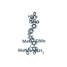 CNC(=O)N1CCc2c(-c3cc(OC)c(CN4CCC(CN5CCN(c6ccc7c(c6)C(=O)N(C6CCC(=O)NC6=O)C7=O)CC5)C4)c(OC)c3)cn(C)c(=O)c2C1